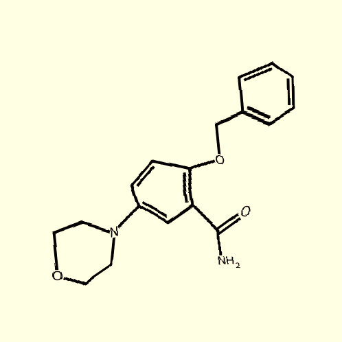 NC(=O)c1cc(N2CCOCC2)ccc1OCc1ccccc1